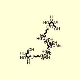 COP(=O)(O)OC(COP(=O)(O)OCP(=O)(O)OCCCCO[C@@H]1OC(CO)[C@H](O)C(O)[C@@H]1O)COP(=O)(O)OCP(=O)(O)OCCCCO[C@@H]1OC(CO)[C@H](O)C(O)[C@@H]1O